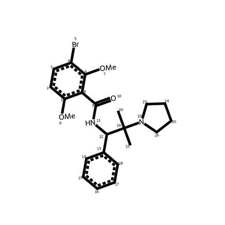 COc1ccc(Br)c(OC)c1C(=O)NC(c1ccccc1)C(C)(C)N1CCCC1